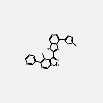 Fc1ccc(-c2nccc3[nH]c(-c4n[nH]c5cnc(-c6cccnc6)c(F)c45)nc23)s1